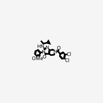 COc1ccccc1-n1c(NC(C)C2CC2)nc2c(c1=O)CCN(C(=O)c1ccc(Cl)c(Cl)c1)C2